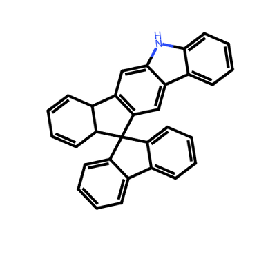 C1=CC2c3cc4[nH]c5ccccc5c4cc3C3(c4ccccc4-c4ccccc43)C2C=C1